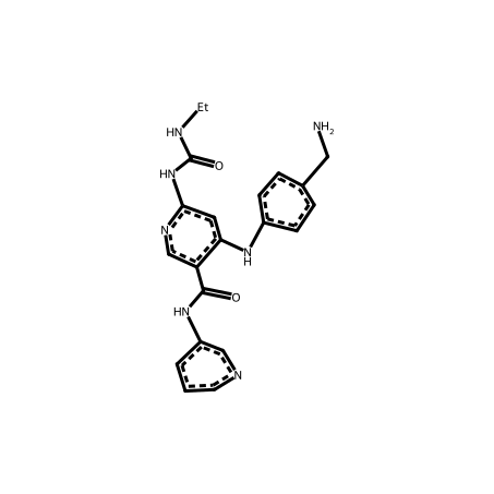 CCNC(=O)Nc1cc(Nc2ccc(CN)cc2)c(C(=O)Nc2cccnc2)cn1